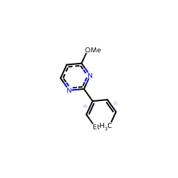 C/C=C\C(=C/CC)c1nccc(OC)n1